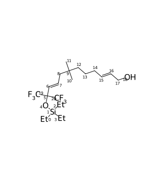 CC[Si](CC)(CC)OC(C=CCC(C)(C)CCCC=CCO)(C(F)(F)F)C(F)(F)F